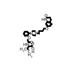 CC(C)C(NC(=O)COc1ccccc1N1CCN(CCCCOc2ccc3c(c2)NC(=O)CC3)CC1)C(=O)O